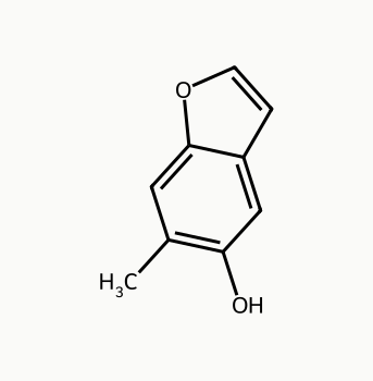 Cc1cc2occc2cc1O